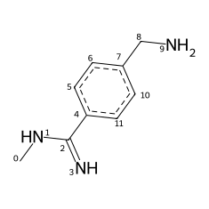 CNC(=N)c1ccc(CN)cc1